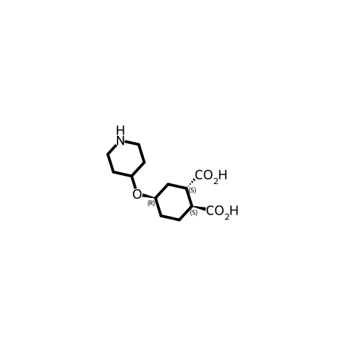 O=C(O)[C@H]1CC[C@@H](OC2CCNCC2)C[C@@H]1C(=O)O